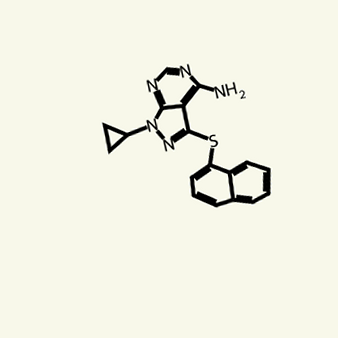 Nc1ncnc2c1c(Sc1cccc3ccccc13)nn2C1CC1